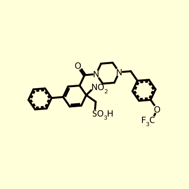 O=C(C1C=C(c2ccccc2)C=CC1(CS(=O)(=O)O)[N+](=O)[O-])N1CCN(Cc2ccc(OC(F)(F)F)cc2)CC1